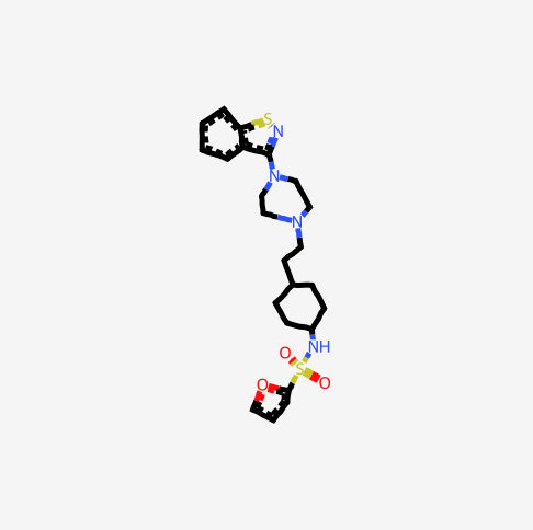 O=S(=O)(NC1CCC(CCN2CCN(c3nsc4ccccc34)CC2)CC1)c1ccco1